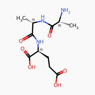 C[C@H](NC(=O)[C@@H](C)N)C(=O)N[C@@H](CCC(=O)O)C(=O)O